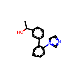 CC(O)c1cccc(-c2ccccc2-n2ccnc2)c1